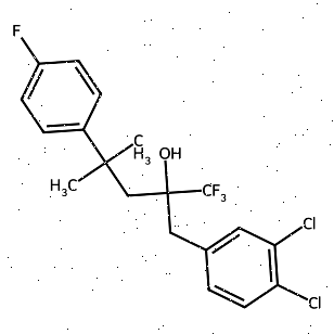 CC(C)(CC(O)(Cc1ccc(Cl)c(Cl)c1)C(F)(F)F)c1ccc(F)cc1